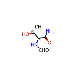 C[C@@H](O)[C@H](N[C]=O)C(N)=O